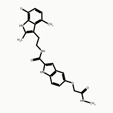 CNC(=O)COc1ccc2[nH]c(C(=O)NCCc3c(C)[nH]c4c(F)ccc(C)c34)cc2c1